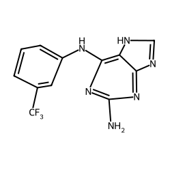 Nc1nc(Nc2cccc(C(F)(F)F)c2)c2[nH]cnc2n1